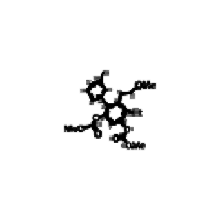 CCc1c(OC(=O)OC)cc(OC(=O)OC)c(-c2cccc(C)c2)c1CCOC